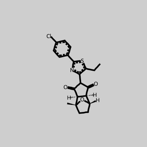 CCc1sc(-c2ccc(Cl)cc2)nc1C1C(=O)[C@H]2[C@@H]3CC[C@@](C)(O3)[C@H]2C1=O